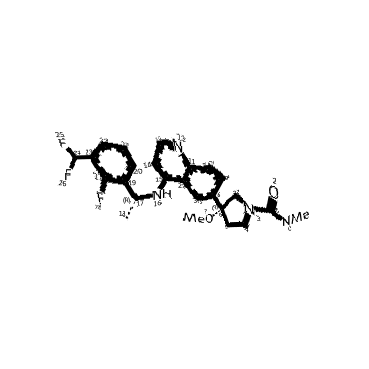 CNC(=O)N1CC[C@@](OC)(c2ccc3nccc(N[C@H](C)c4cccc(C(F)F)c4F)c3c2)C1